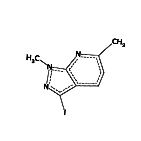 Cc1ccc2c(I)nn(C)c2n1